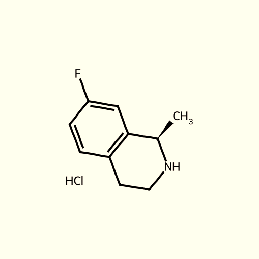 C[C@H]1NCCc2ccc(F)cc21.Cl